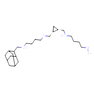 CCNCCCCNC[C@@H]1C[C@@H]1CNCCCCNCC1C2CC3CC(C2)CC1C3